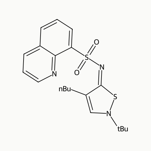 CCCCc1cn(C(C)(C)C)sc1=NS(=O)(=O)c1cccc2cccnc12